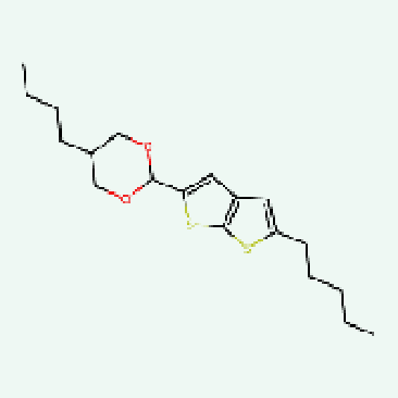 CCCCCc1cc2cc(C3OCC(CCCC)CO3)sc2s1